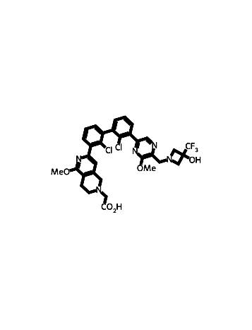 COc1nc(-c2cccc(-c3cccc(-c4cc5c(c(OC)n4)CCN(CC(=O)O)C5)c3Cl)c2Cl)cnc1CN1CC(O)(C(F)(F)F)C1